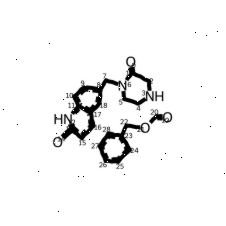 O=C1CNCCN1Cc1ccc2[nH]c(=O)ccc2c1.O=COCc1ccccc1